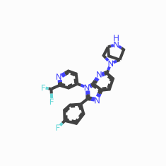 Fc1ccc(-c2nc3ccc(N4CC5CC4CN5)nc3n2-c2ccnc(C(F)F)c2)cc1